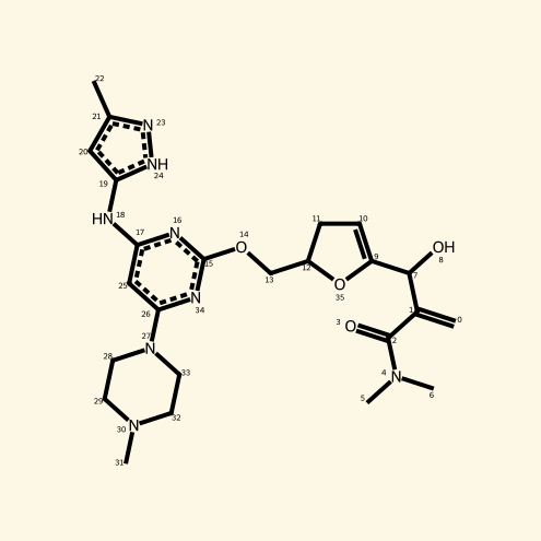 C=C(C(=O)N(C)C)C(O)C1=CCC(COc2nc(Nc3cc(C)n[nH]3)cc(N3CCN(C)CC3)n2)O1